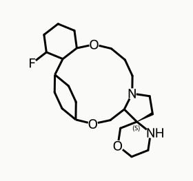 FC1CCCC2OCCCN3CC[C@@]4(COCCN4)C3COC3CCC(CC3)C12